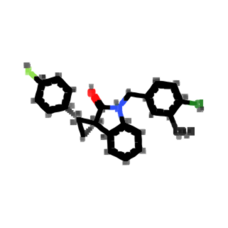 O=C(O)c1cc(CN2C(=O)[C@@]3(C[C@@H]3c3ccc(F)cc3)c3ccccc32)ccc1Cl